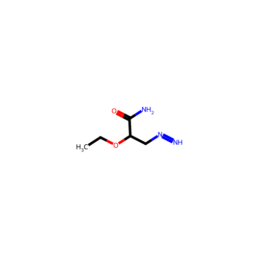 CCOC(CN=N)C(N)=O